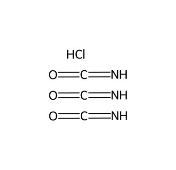 Cl.N=C=O.N=C=O.N=C=O